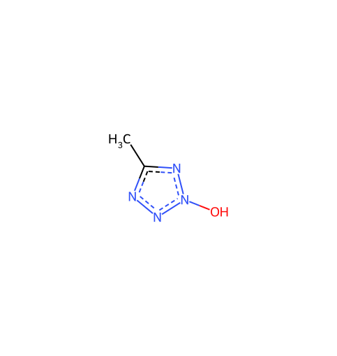 Cc1nnn(O)n1